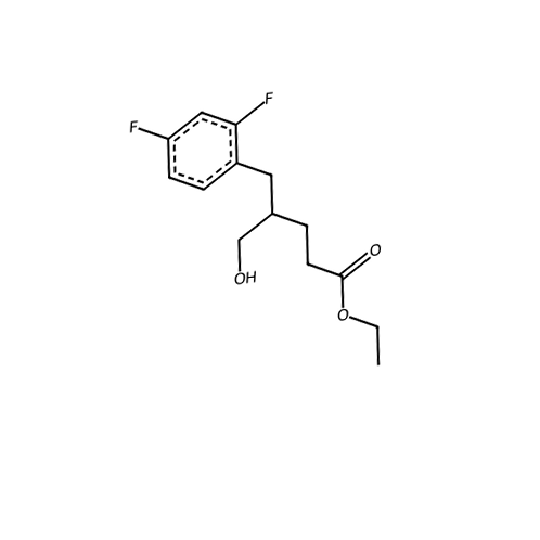 CCOC(=O)CCC(CO)Cc1ccc(F)cc1F